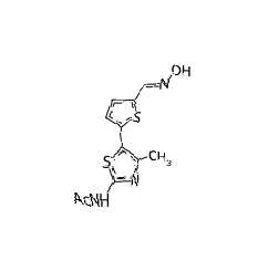 CC(=O)Nc1nc(C)c(-c2ccc(C=NO)s2)s1